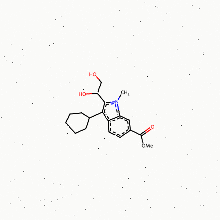 COC(=O)c1ccc2c(C3CCCCC3)c(C(O)CO)n(C)c2c1